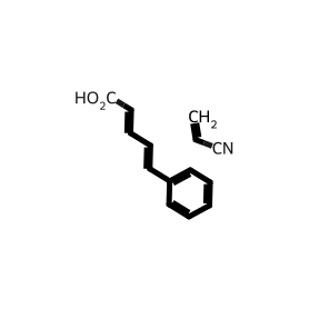 C=CC#N.O=C(O)C=CC=Cc1ccccc1